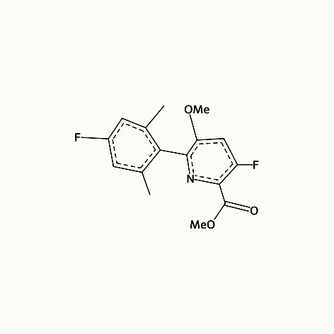 COC(=O)c1nc(-c2c(C)cc(F)cc2C)c(OC)cc1F